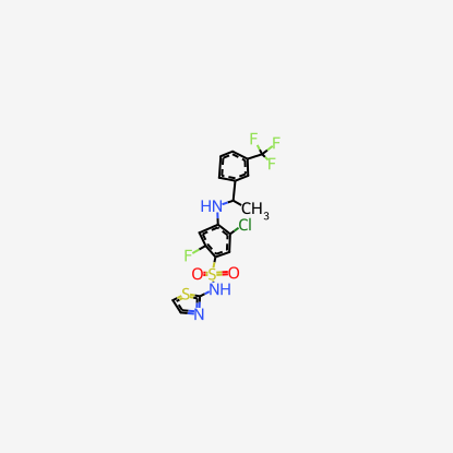 CC(Nc1cc(F)c(S(=O)(=O)Nc2nccs2)cc1Cl)c1cccc(C(F)(F)F)c1